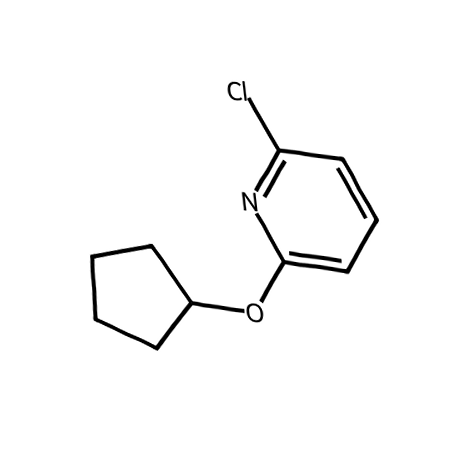 Clc1cccc(OC2CCCC2)n1